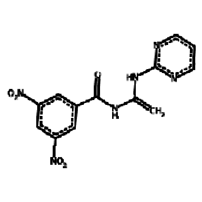 C=C(NC(=O)c1cc([N+](=O)[O-])cc([N+](=O)[O-])c1)Nc1ncccn1